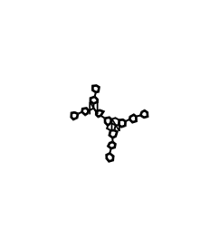 c1ccc(-c2ccc(-c3ccc4c(c3)Cc3cc(-c5ccc(N(c6ccc(-c7ccccc7)cc6)c6ccc(-c7ccccc7)cc6)cc5)cc5c3N4c3ccc(-c4ccc(-c6ccccc6)cc4)cc3C5)cc2)cc1